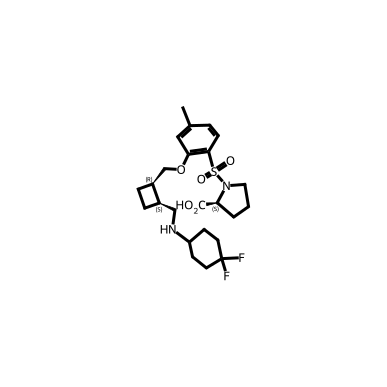 Cc1ccc(S(=O)(=O)N2CCC[C@H]2C(=O)O)c(OC[C@@H]2CC[C@@H]2CNC2CCC(F)(F)CC2)c1